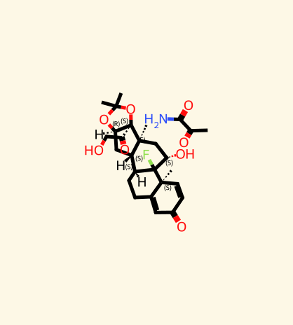 CC(=O)C(N)=O.CC1(C)O[C@@H]2C[C@H]3[C@@H]4CCC5=CC(=O)C=C[C@]5(C)C4(F)[C@@H](O)C[C@]3(C)[C@]2(C(=O)CO)O1